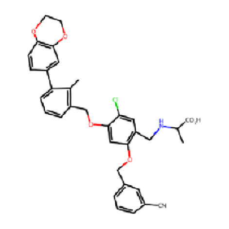 Cc1c(COc2cc(OCc3cccc(C#N)c3)c(CNC(C)C(=O)O)cc2Cl)cccc1-c1ccc2c(c1)OCCO2